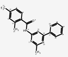 Cc1nc(NC(=O)c2ccc(C(F)(F)F)cc2C)nc(-c2ccccn2)n1